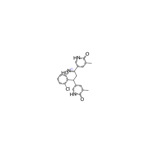 Cc1cc(/C(CC(c2c[nH]c(=O)c(C)c2)c2ccccc2Cl)=N/O)c[nH]c1=O